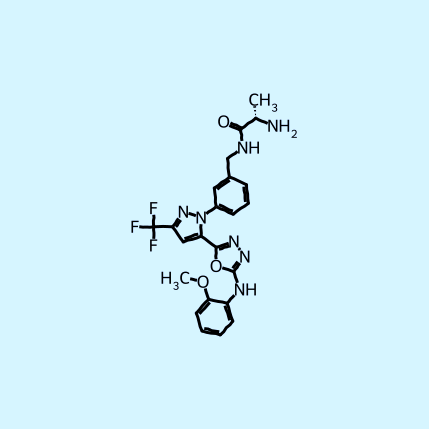 COc1ccccc1Nc1nnc(-c2cc(C(F)(F)F)nn2-c2cccc(CNC(=O)[C@H](C)N)c2)o1